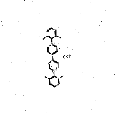 Cc1cccc(C)c1-[n+]1ccc(-c2cc[n+](-c3c(C)cccc3C)cc2)cc1.[Cl-].[Cl-]